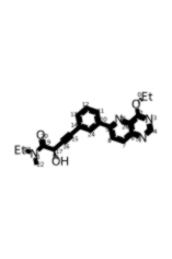 CCOc1ncnc2ccc(-c3cccc(C#C[C@@H](O)C(=O)N(C)CC)c3)nc12